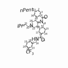 CCCCCc1ccc(C(=O)N(Cc2ccc(C(=O)NCc3cccc(C(F)(F)F)c3)cc2)C2CCN(CCC(C)C)CC2)cc1